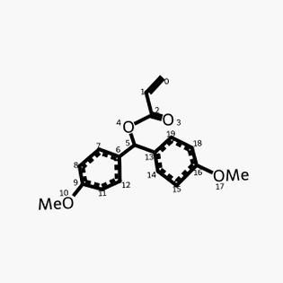 C=CC(=O)OC(c1ccc(OC)cc1)c1ccc(OC)cc1